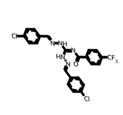 O=C(N=C(NN=Cc1ccc(Cl)cc1)NN=Cc1ccc(Cl)cc1)c1ccc(C(F)(F)F)cc1